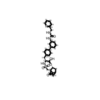 CC1(C)C2CC[C@@]1(CS(=O)(=O)N[C@@H](Cc1ccc(-c3cccc(NC(=O)NCc4ccccn4)c3)cc1)C(=O)O)C(=O)C2